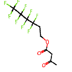 CC(=O)CC(=O)OCCC(F)(F)C(F)(F)C(F)(F)C(F)(F)F